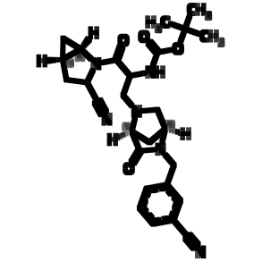 CC(C)(C)OC(=O)NC(CN1C[C@@H]2C[C@H]1C(=O)N2Cc1cccc(C#N)c1)C(=O)N1C(C#N)C[C@@H]2C[C@@H]21